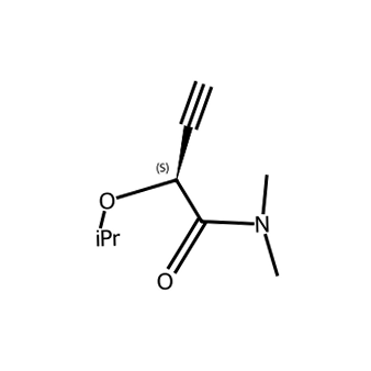 C#C[C@H](OC(C)C)C(=O)N(C)C